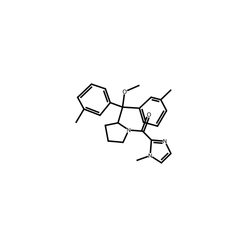 COC(c1cccc(C)c1)(c1cccc(C)c1)C1CCCN1C(=O)c1nccn1C